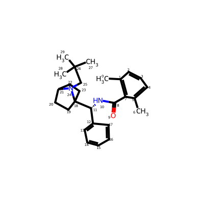 Cc1cccc(C)c1C(=O)N[C@H](c1ccccc1)C12CCC(CC1)N2CC(C)(C)C